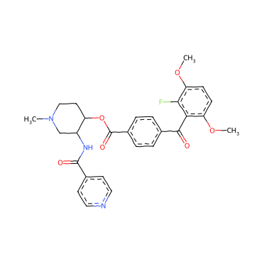 COc1ccc(OC)c(C(=O)c2ccc(C(=O)OC3CCN(C)CC3NC(=O)c3ccncc3)cc2)c1F